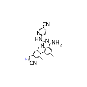 Cc1cc(-c2c(C)cc(/C=C\C#N)cc2C)c2nc(Nc3ccc(C#N)cn3)nc(N)c2c1